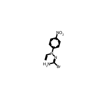 C=CN(/N=C(\N)Br)c1ccc([N+](=O)[O-])cc1